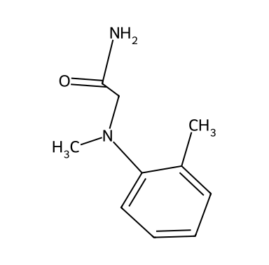 Cc1ccccc1N(C)CC(N)=O